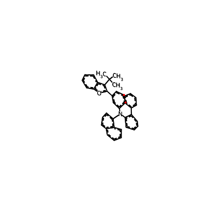 CC(C)(C)c1c(-c2cccc(N(c3ccccc3-c3ccccc3)c3cccc4ccccc34)c2)oc2ccccc12